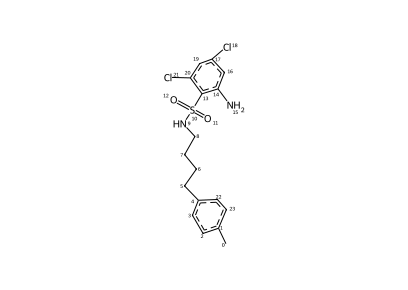 Cc1ccc(CCCCNS(=O)(=O)c2c(N)cc(Cl)cc2Cl)cc1